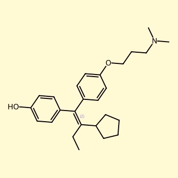 CC/C(=C(\c1ccc(O)cc1)c1ccc(OCCCN(C)C)cc1)C1CCCC1